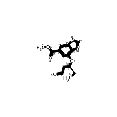 CC[C@@H](CC=O)Oc1cc(C(=O)OC)cc2scnc12